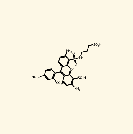 Nc1ccc2c(-c3ccc(C(=O)O)cc3C(=O)O)c3ccc(N)c(S(=O)(=O)NCCCS(=O)(=O)O)c3[o+]c2c1S(=O)(=O)O